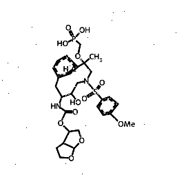 COc1ccc(S(=O)(=O)N(CC(O)C(Cc2ccccc2)NC(=O)OC2COC3OCCC23)CC(C)(C)OCP(=O)(O)O)cc1